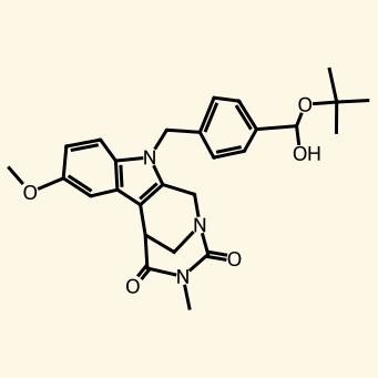 COc1ccc2c(c1)c1c(n2Cc2ccc(C(O)OC(C)(C)C)cc2)CN2CC1C(=O)N(C)C2=O